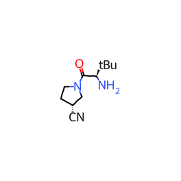 CC(C)(C)[C@@H](N)C(=O)N1CC[C@@H](C#N)C1